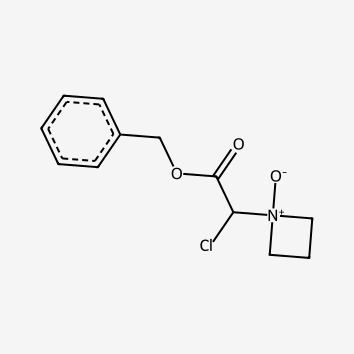 O=C(OCc1ccccc1)C(Cl)[N+]1([O-])CCC1